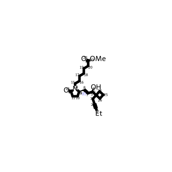 CCC#CCC1([C@H](O)/C=C/[C@H]2CCC(=O)N2CCCCCCC(=O)OC)CCC1